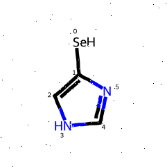 [SeH]c1c[nH]cn1